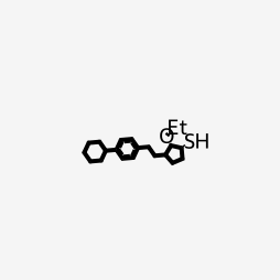 CCO[C@@H]1C(CCc2ccc(C3CCCCC3)cc2)CC[C@H]1S